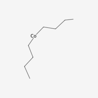 CCC[CH2][Co][CH2]CCC